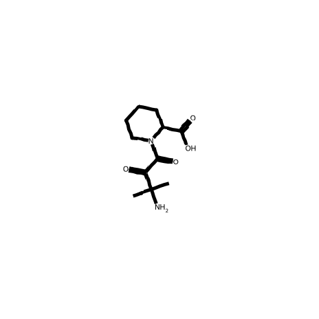 CC(C)(N)C(=O)C(=O)N1CCCCC1C(=O)O